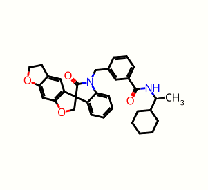 C[C@H](NC(=O)c1cccc(CN2C(=O)C3(COc4cc5c(cc43)CCO5)c3ccccc32)c1)C1CCCCC1